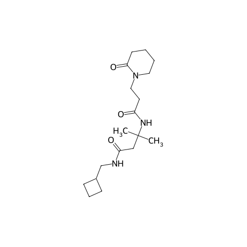 CC(C)(CC(=O)NCC1CCC1)NC(=O)CCN1CCCCC1=O